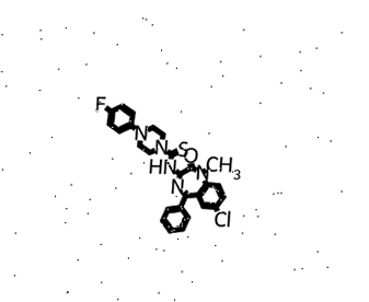 CN1C(=O)C(NC(=S)N2CCN(c3ccc(F)cc3)CC2)N=C(c2ccccc2)c2cc(Cl)ccc21